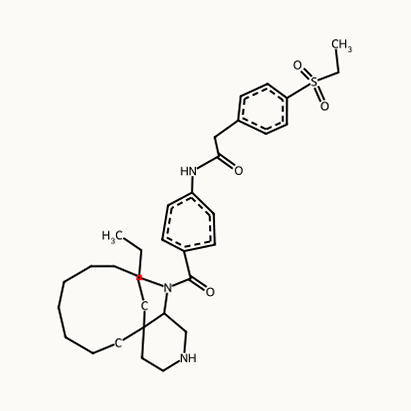 CCCN(C(=O)c1ccc(NC(=O)Cc2ccc(S(=O)(=O)CC)cc2)cc1)C1CNCCC12CCCCCCCCC2